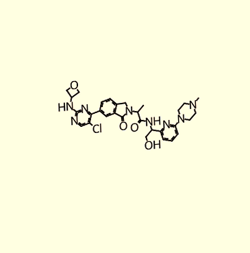 CC(C(=O)NC(CO)c1cccc(N2CCN(C)CC2)n1)N1Cc2ccc(-c3nc(NC4COC4)ncc3Cl)cc2C1=O